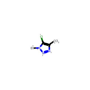 CCn1nnc(C(Cl)(Cl)Cl)c1Cl